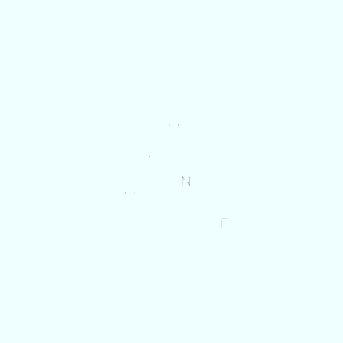 O=S(=O)(c1ccccc1)N(C1CCCCC1)C(F)(F)F